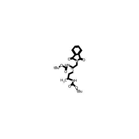 CC(CC[C@@H](CN1C(=O)c2ccccc2C1=O)NC(=O)OC(C)(C)C)NC(=O)OC(C)(C)C